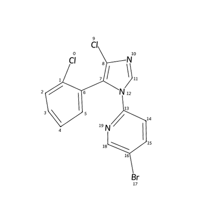 Clc1ccccc1-c1c(Cl)ncn1-c1ccc(Br)cn1